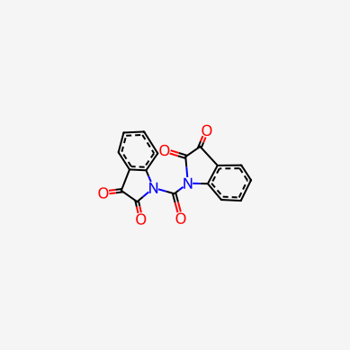 O=C1C(=O)N(C(=O)N2C(=O)C(=O)c3ccccc32)c2ccccc21